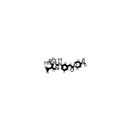 [CH2]CCNc1nc(Nc2cccc(CC(=O)N3CCC(N(C)C)CC3)c2)ncc1C1CC1